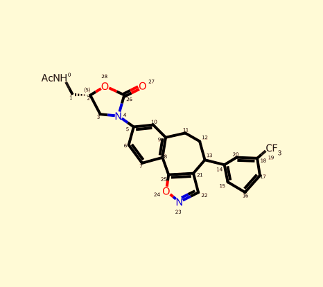 CC(=O)NC[C@H]1CN(c2ccc3c(c2)CCC(c2cccc(C(F)(F)F)c2)c2cnoc2-3)C(=O)O1